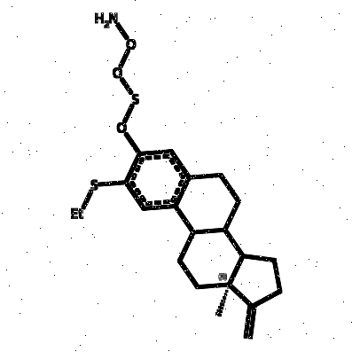 C=C1CCC2C3CCc4cc(OSOON)c(SCC)cc4C3CC[C@]12C